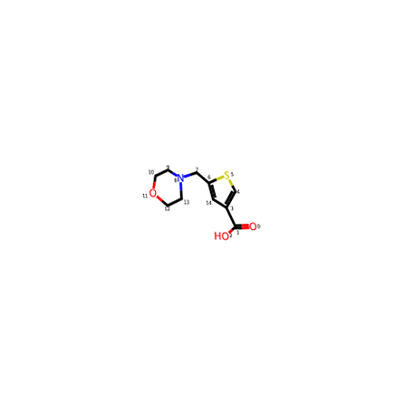 O=C(O)c1csc(CN2CCOCC2)c1